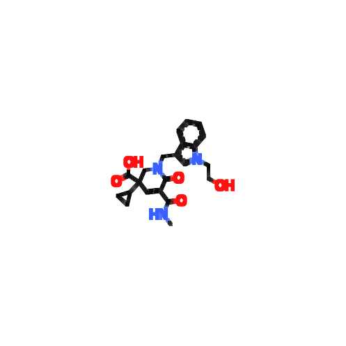 CNC(=O)C1=CC(C(=O)O)(C2CC2)CN(Cc2cn(CCO)c3ccccc23)C1=O